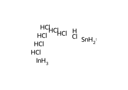 Cl.Cl.Cl.Cl.Cl.Cl.Cl.[InH3].[SnH2]